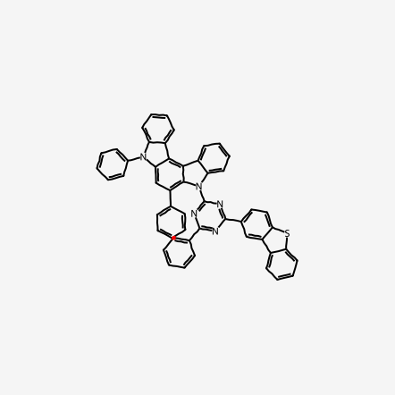 c1ccc(-c2nc(-c3ccc4sc5ccccc5c4c3)nc(-n3c4ccccc4c4c5c6ccccc6n(-c6ccccc6)c5cc(-c5ccccc5)c43)n2)cc1